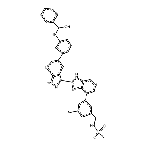 CS(=O)(=O)NCc1cc(F)cc(-c2cncc3[nH]c(-c4n[nH]c5ncc(-c6cncc(NC(O)c7ccccc7)c6)cc45)nc23)c1